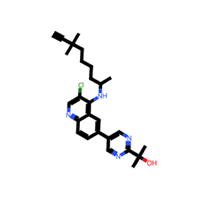 C#CC(C)(C)CCCCC(C)Nc1c(Cl)cnc2ccc(-c3cnc(C(C)(C)O)nc3)cc12